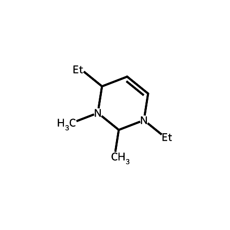 CCC1C=CN(CC)C(C)N1C